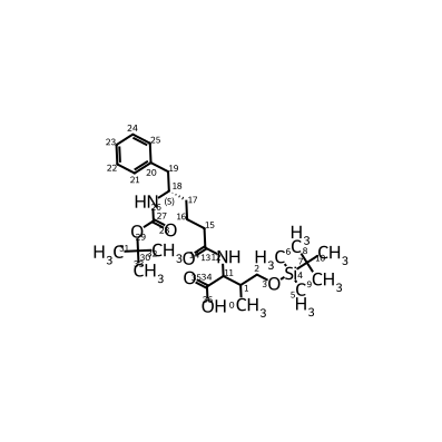 CC(CO[Si](C)(C)C(C)(C)C)C(NC(=O)CCC[C@@H](Cc1ccccc1)NC(=O)OC(C)(C)C)C(=O)O